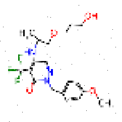 COc1ccc(Cn2ncc(NC(C)COCCCO)c(C(F)(F)F)c2=O)cc1